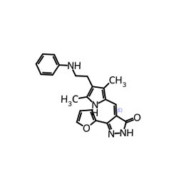 Cc1[nH]c(/C=C2/C(=O)NN=C2c2ccco2)c(C)c1CCNc1ccccc1